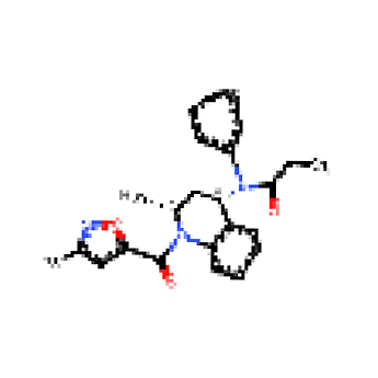 CCC(=O)N(c1ccccc1)[C@H]1C[C@@H](C)N(C(=O)c2cc(C)no2)c2ccccc21